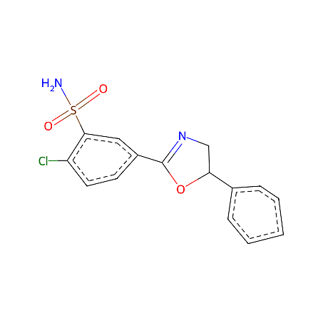 NS(=O)(=O)c1cc(C2=NCC(c3ccccc3)O2)ccc1Cl